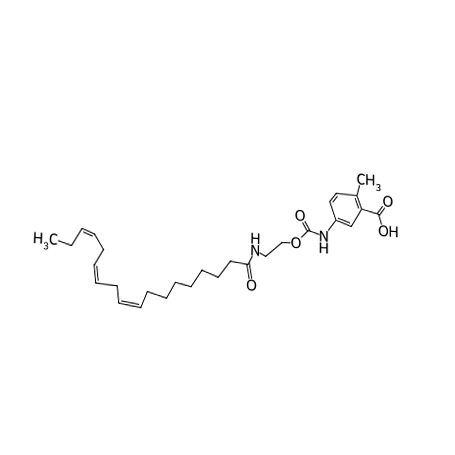 CC/C=C\C/C=C\C/C=C\CCCCCCCC(=O)NCCOC(=O)Nc1ccc(C)c(C(=O)O)c1